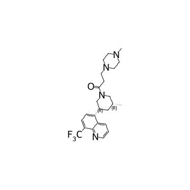 C[C@@H]1C[C@H](c2ccc(C(F)(F)F)c3ncccc23)CN(C(=O)CCN2CCN(C)CC2)C1